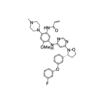 C=CC(=O)Nc1cc(Nc2cc(N3OCC[C@@H]3c3cccc(Oc4cccc(F)c4)c3)ncn2)c(OC)cc1N1CCN(C)CC1